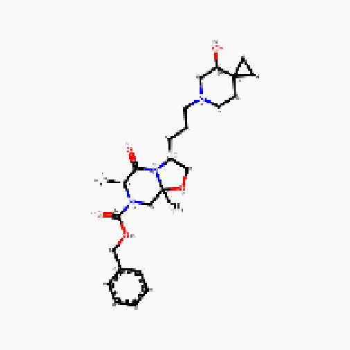 C[C@H]1C(=O)N2[C@@H](CCCN3CCC4(CC4)[C@H](O)C3)COC2(C)CN1C(=O)OCc1ccccc1